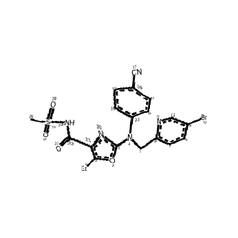 CCc1oc(N(Cc2ccc(Br)cn2)c2ccc(C#N)cc2)nc1C(=O)NS(C)(=O)=O